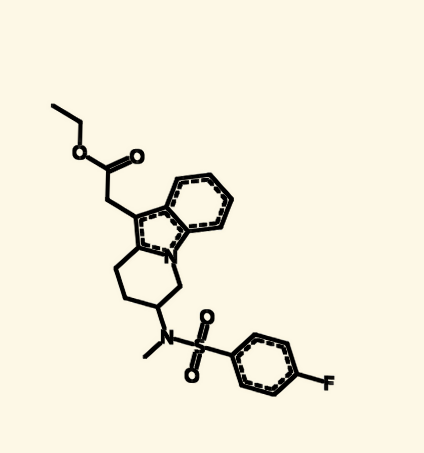 CCOC(=O)Cc1c2n(c3ccccc13)CC(N(C)S(=O)(=O)c1ccc(F)cc1)CC2